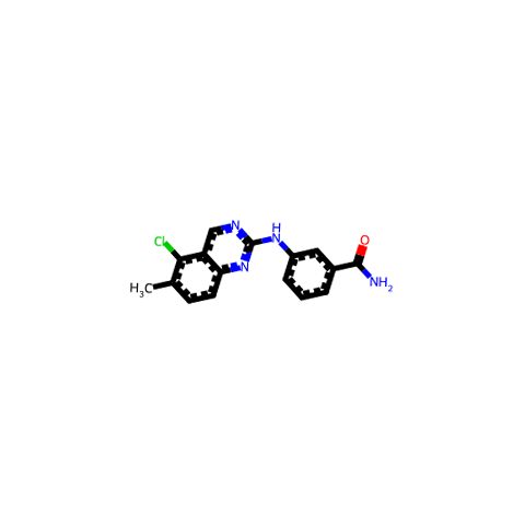 Cc1ccc2nc(Nc3cccc(C(N)=O)c3)ncc2c1Cl